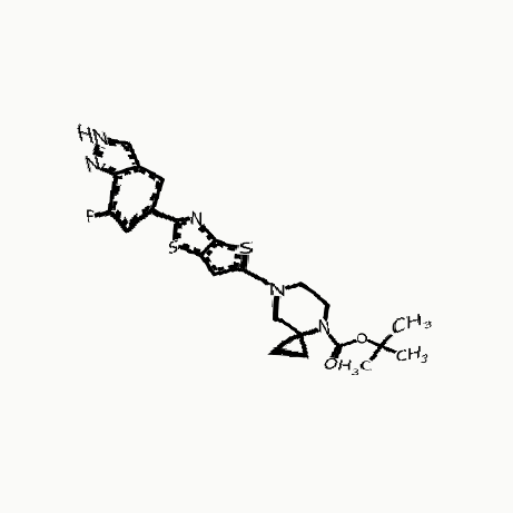 CC(C)(C)OC(=O)N1CCN(c2cc3sc(-c4cc(F)c5n[nH]cc5c4)nc3s2)CC12CC2